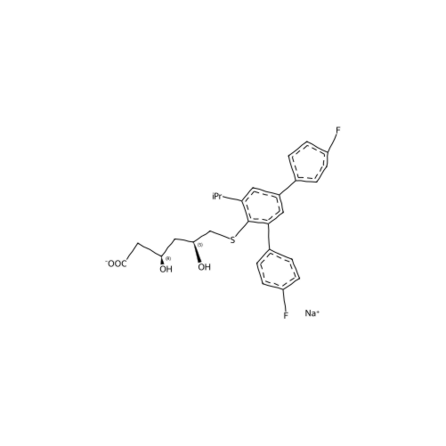 CC(C)c1cc(-c2ccc(F)cc2)cc(-c2ccc(F)cc2)c1SC[C@@H](O)C[C@@H](O)CC(=O)[O-].[Na+]